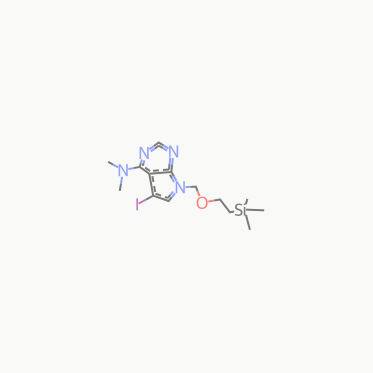 CN(C)c1ncnc2c1c(I)cn2COCC[Si](C)(C)C